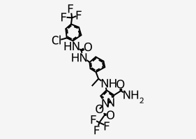 CC(Nc1cn(OC(=O)C(F)(F)F)nc1C(N)=O)c1cccc(NC(=O)Nc2ccc(C(F)(F)F)cc2Cl)c1